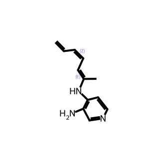 C=C/C=C\C=C(/C)Nc1ccncc1N